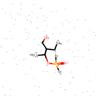 CCP(=O)(CC)OC(C(CO)COC(C)=O)S(=O)(=O)O